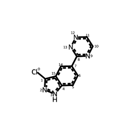 Clc1n[nH]c2ccc(-c3nccnn3)cc12